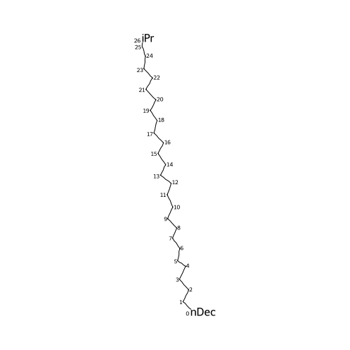 [CH2]CCCCCCCCCCCCCCCCCCCCCCCCCCCCCCCCCCC(C)C